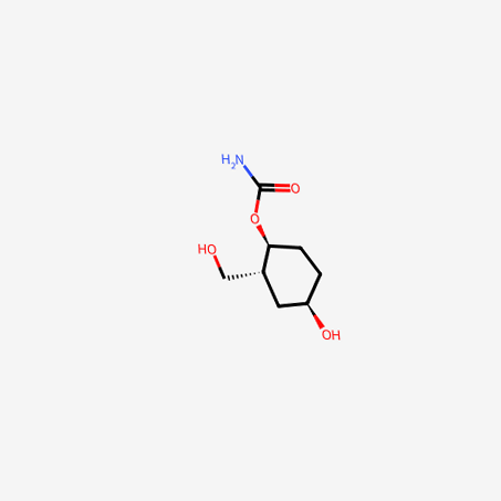 NC(=O)O[C@H]1CC[C@@H](O)C[C@@H]1CO